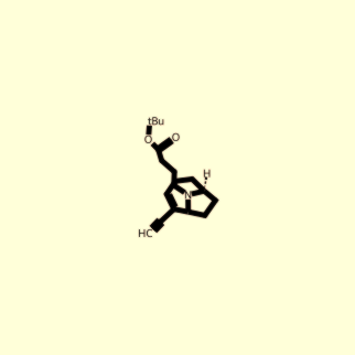 C#CC1=CCC[C@H]2CCC1N2CCCC(=O)OC(C)(C)C